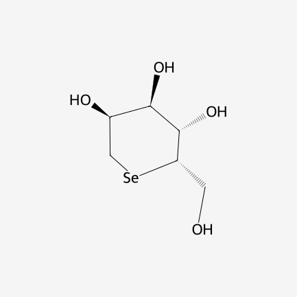 OC[C@@H]1[Se]C[C@@H](O)[C@@H](O)[C@@H]1O